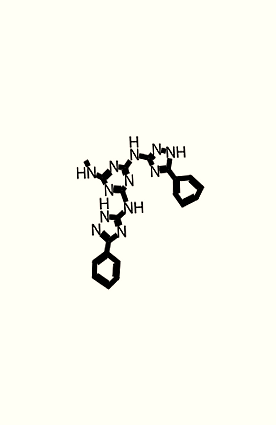 CNc1nc(Nc2n[nH]c(-c3ccccc3)n2)nc(Nc2nc(-c3ccccc3)n[nH]2)n1